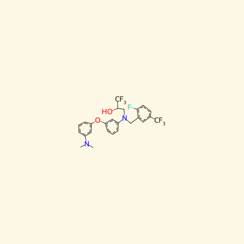 CN(C)c1cccc(Oc2cccc(N(Cc3cc(C(F)(F)F)ccc3F)CC(O)C(F)(F)F)c2)c1